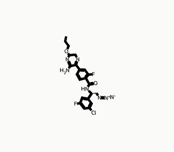 CCCOC1CN=C(c2ccc(C(=O)N[C@H](CN=[N+]=[N-])c3cc(F)cc(Cl)c3)c(F)c2)C(N)=N1